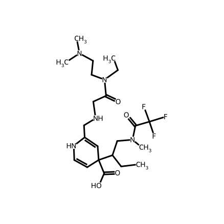 CCC(CN(C)C(=O)C(F)(F)F)C1(C(=O)O)C=CNC(CNCC(=O)N(CC)CCN(C)C)=C1